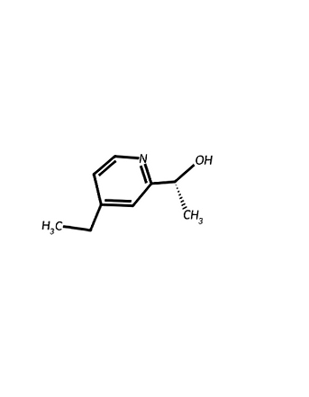 CCc1ccnc([C@@H](C)O)c1